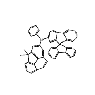 CC1(C)c2cccc3ccc4cc(N(c5ccccc5)c5ccc6c(c5)C5(c7ccccc7-c7ccccc75)c5ccccc5-6)cc1c4c23